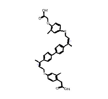 C/C(=C/CSc1ccc(CC(=O)O)c(C)c1)c1ccc(-c2ccc(/C(C)=C\CSc3ccc(OCC(=O)O)c(C)c3)cc2)cc1